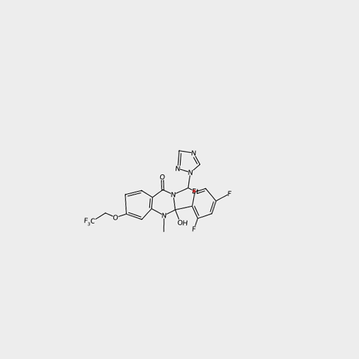 CCC(N1C(=O)c2ccc(OCC(F)(F)F)cc2N(C)C1(O)c1ccc(F)cc1F)n1cncn1